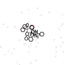 CC1(C)c2ccccc2C2(c3ccccc3-c3ccccc32)c2ccc3oc4cccc(-c5nc(-c6ccccc6)nc(-c6cccc(-c7ccccc7)c6)n5)c4c3c21